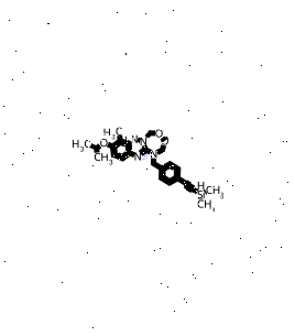 Cc1cc(/N=C2\N(N)COOCN2Cc2ccc(C#C[SiH](C)C)cc2)ccc1OC(C)C